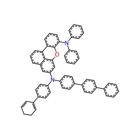 C1=CC(c2ccc(N(c3ccc(-c4ccc(-c5ccccc5)cc4)cc3)c3cc4c5c(cccc5c3)-c3cccc(N(c5ccccc5)c5ccccc5)c3O4)cc2)=CCC1